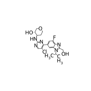 CC(C)n1c(CO)nc2c(F)cc(-c3nc(N[C@@H]4CCOC[C@H]4O)ncc3Cl)cc21